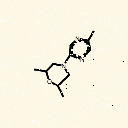 Cc1cnc(N2CC(C)OC(C)C2)cn1